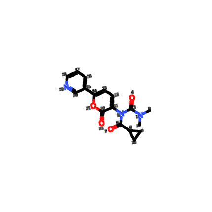 CN(C)C(=O)N(C(=O)C1CC1)c1ccc(-c2cccnc2)oc1=O